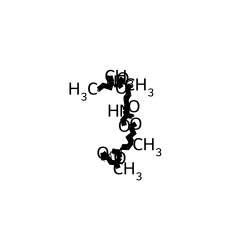 CCCCN(C)C(=O)OC(C)C=CC(=O)NC1COC(CC=C(C)C=C[C@@H]2C[C@@]3(CO3)CC(C)O2)OC1